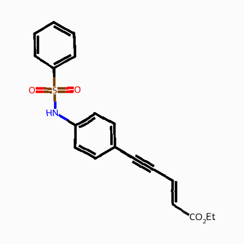 CCOC(=O)/C=C/C#Cc1ccc(NS(=O)(=O)c2ccccc2)cc1